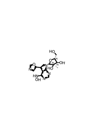 C[C@@]1(O)[C@H](O)[C@@H](CO)O[C@H]1n1cc(-c2cnco2)c2c(NO)ncnc21